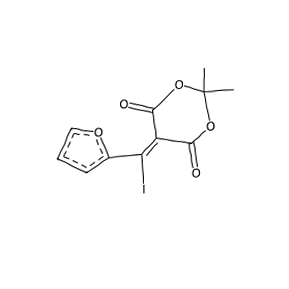 CC1(C)OC(=O)C(=C(I)c2ccco2)C(=O)O1